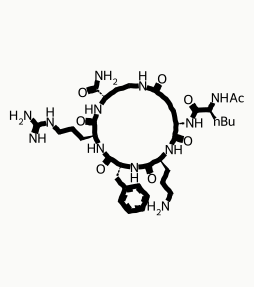 CCCC[C@H](NC(C)=O)C(=O)N[C@H]1CCC(=O)NCC[C@@H](C(N)=O)NC(=O)[C@H](CCCNC(=N)N)NC(=O)[C@@H](Cc2ccccc2)NC(=O)[C@H](CCCN)NC1=O